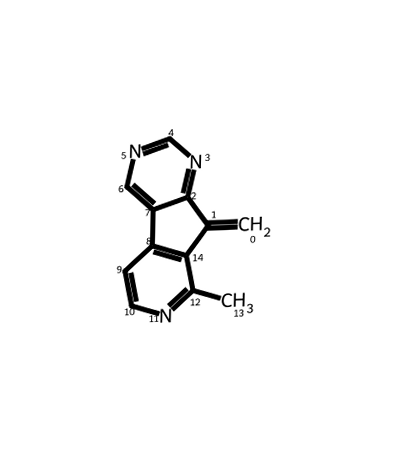 C=C1c2ncncc2-c2ccnc(C)c21